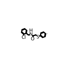 O=C(CSc1cc[c]cc1)NCc1ccccc1Cl